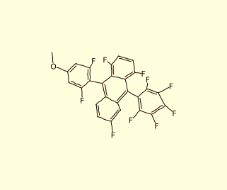 COc1cc(F)c(-c2c3ccc(F)cc3c(-c3c(F)c(F)c(F)c(F)c3F)c3c(F)ccc(F)c23)c(F)c1